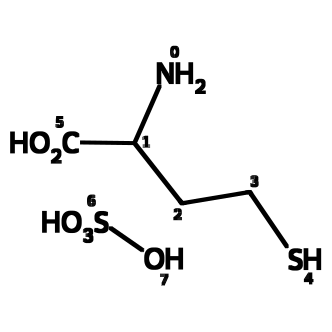 NC(CCS)C(=O)O.O=S(=O)(O)O